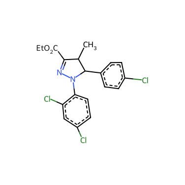 CCOC(=O)C1=NN(c2ccc(Cl)cc2Cl)C(c2ccc(Cl)cc2)C1C